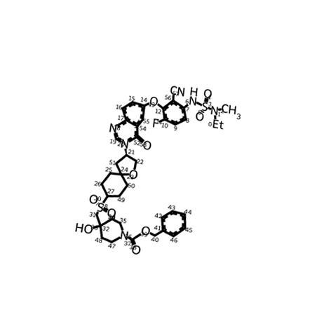 CCN(C)S(=O)(=O)Nc1ccc(F)c(Oc2ccc3ncn([C@H]4COC5(CCC(S(=O)(=O)CC6(O)CCN(C(=O)OCc7ccccc7)CC6)CC5)C4)c(=O)c3c2)c1C#N